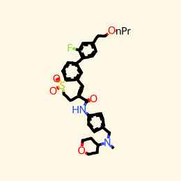 CCCOCCc1ccc(-c2ccc3c(c2)C=C(C(=O)Nc2ccc(CN(C)C4CCOCC4)cc2)CCS3(=O)=O)c(F)c1